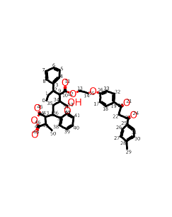 CCC(c1ccccc1)C(C(=O)OCCOc1ccc(C(=O)CC(=O)c2ccc(C)cc2)cc1)C(CC(c1ccccc1)C1C(=O)OC(=O)C1C)C(=O)O